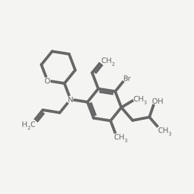 C=CCN(C1=CC(C)C(C)(CC(C)O)C(Br)=C1C=C)C1CCCCO1